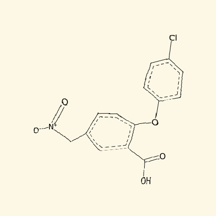 O=C(O)c1cc(C[N+](=O)[O-])ccc1Oc1ccc(Cl)cc1